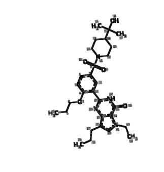 CCCOc1ccc(S(=O)(=O)N2CCC(C(C)(C)O)CC2)cc1-c1nc2c(CCC)cn(CC)c2c(=O)[nH]1